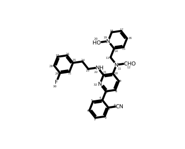 N#Cc1ccccc1-c1ccc(N(C=O)CC2=CC=CCN2O)c(NCCc2cccc(F)c2)n1